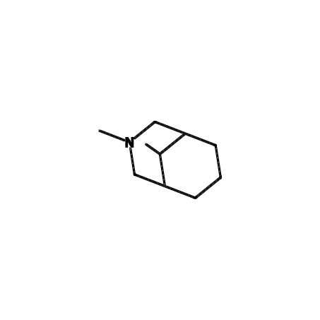 CC1C2CCCC1CN(C)C2